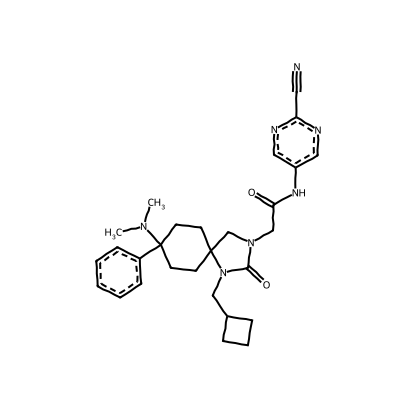 CN(C)C1(c2ccccc2)CCC2(CC1)CN(CC(=O)Nc1cnc(C#N)nc1)C(=O)N2CC1CCC1